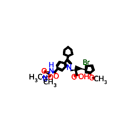 COc1ccc(Br)c([C@@H]2C[C@@]2(Cn2cc(C3CCCCC3)c3ccc(C(=O)NS(=O)(=O)N(C)C)cc32)C(=O)O)c1